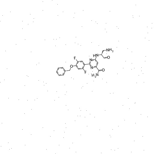 NC[C@@H](C=O)Nc1cc(C(N)=O)nc(-c2cc(F)c(OCc3ccccc3)cc2F)n1